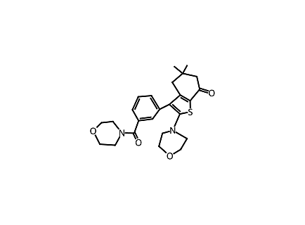 CC1(C)CC(=O)c2sc(N3CCOCC3)c(-c3cccc(C(=O)N4CCOCC4)c3)c2C1